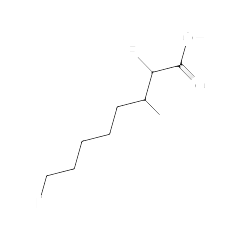 O=C(O)C(F)C(F)CCCCCF